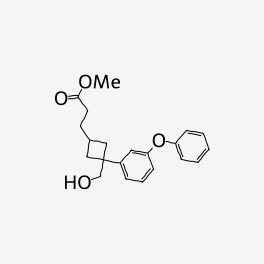 COC(=O)CCC1CC(CO)(c2cccc(Oc3ccccc3)c2)C1